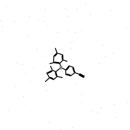 C#Cc1ccc(B(c2c(C)cc(C)cc2C)c2c(C)cc(C)cc2C)cc1